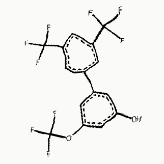 Oc1cc(OC(F)(F)F)cc(-c2cc(C(F)(F)F)cc(C(F)(F)F)c2)c1